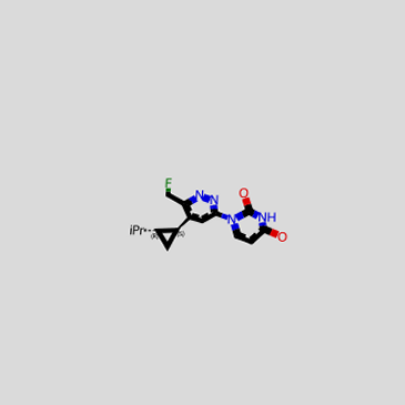 CC(C)[C@H]1C[C@@H]1c1cc(-n2ccc(=O)[nH]c2=O)nnc1CF